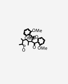 COc1cccc(OC)c1C(=O)C(C(=O)c1c(OC)cccc1OC)C(C)CC(C)C(C)P=O